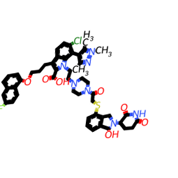 Cc1nn(C)c(C)c1-c1c(Cl)ccc2c(CCCOc3cccc4cc(F)ccc34)c(C(=O)O)n(CCN3CCN(C(=O)CSc4cccc5c4CN(C4CCC(=O)NC4=O)C5O)CC3)c12